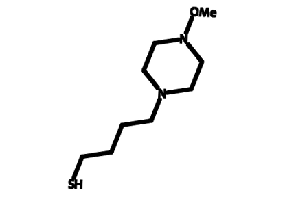 CON1CCN(CCCCS)CC1